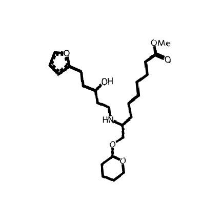 COC(=O)CCCCCCC(COC1CCCCO1)NCCC(O)CCc1ccco1